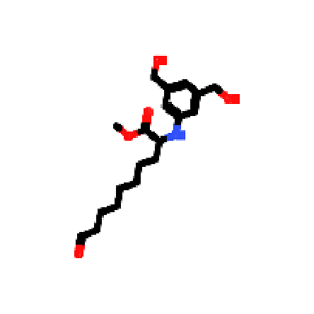 COC(=O)C(CCCCCCCC=O)Nc1cc(CO)cc(CO)c1